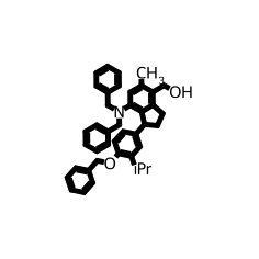 Cc1cc(N(Cc2ccccc2)Cc2ccccc2)c2c(c1CO)CCC2c1ccc(OCc2ccccc2)c(C(C)C)c1